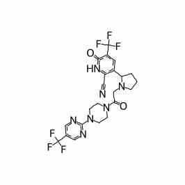 N#Cc1[nH]c(=O)c(C(F)(F)F)cc1C1CCCN1CC(=O)N1CCN(c2ncc(C(F)(F)F)cn2)CC1